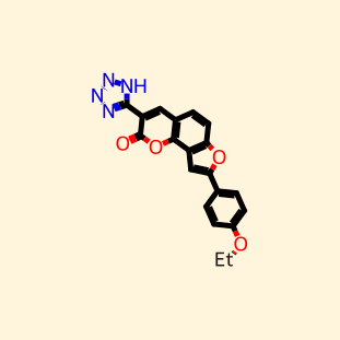 CCOc1ccc(-c2cc3c(ccc4cc(-c5nnn[nH]5)c(=O)oc43)o2)cc1